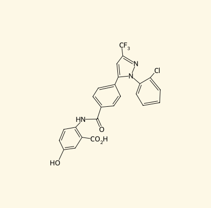 O=C(Nc1ccc(O)cc1C(=O)O)c1ccc(-c2cc(C(F)(F)F)nn2-c2ccccc2Cl)cc1